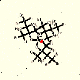 CCC(Cl)(Cl)C(OP(=O)(OC(C(Cl)(Cl)CC)(C(Cl)(Cl)CC)C(C)(C)C(Br)(Br)Br)OC(C(Cl)(Cl)CC)(C(Cl)(Cl)CC)C(C)(C)C(Br)(Br)Br)(C(Cl)(Cl)CC)C(C)(C)C(Br)(Br)Br